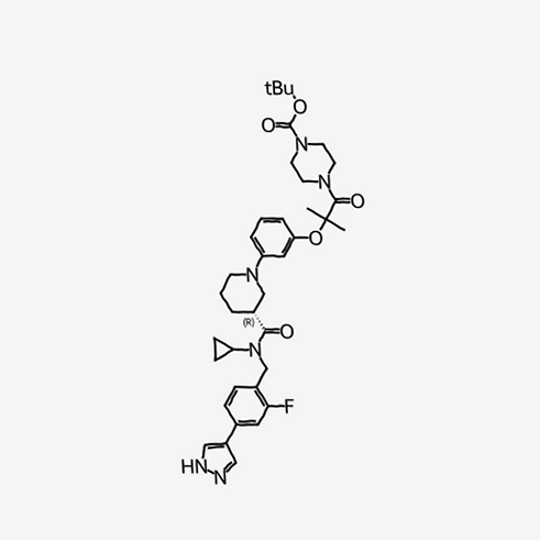 CC(C)(C)OC(=O)N1CCN(C(=O)C(C)(C)Oc2cccc(N3CCC[C@@H](C(=O)N(Cc4ccc(-c5cn[nH]c5)cc4F)C4CC4)C3)c2)CC1